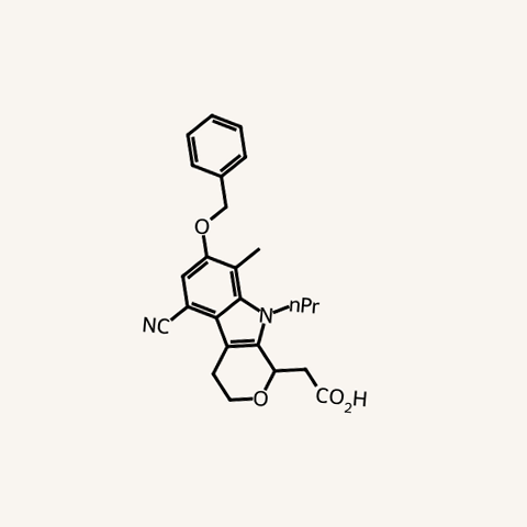 CCCn1c2c(c3c(C#N)cc(OCc4ccccc4)c(C)c31)CCOC2CC(=O)O